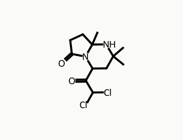 CC1(C)CC(C(=O)C(Cl)Cl)N2C(=O)CCC2(C)N1